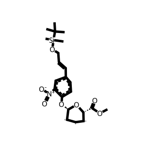 COC(=O)[C@@H]1[CH][CH][CH][C@H](Oc2ccc(/C=C/CO[Si](C)(C)C(C)(C)C)cc2[N+](=O)[O-])O1